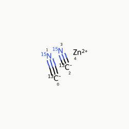 [13C-]#[15N].[13C-]#[15N].[Zn+2]